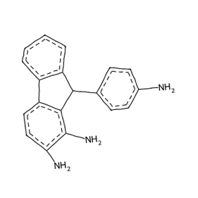 Nc1ccc(C2c3ccccc3-c3ccc(N)c(N)c32)cc1